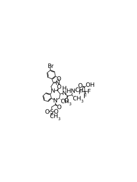 CN[C@@H](C)C(=O)N[C@@H]1C(=O)N(Cc2noc3cc(Br)ccc23)c2ccccc2N(C(=O)CS(C)(=O)=O)[C@H]1C.O=C(O)C(F)(F)F